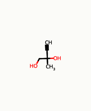 C#CC(C)(O)CO